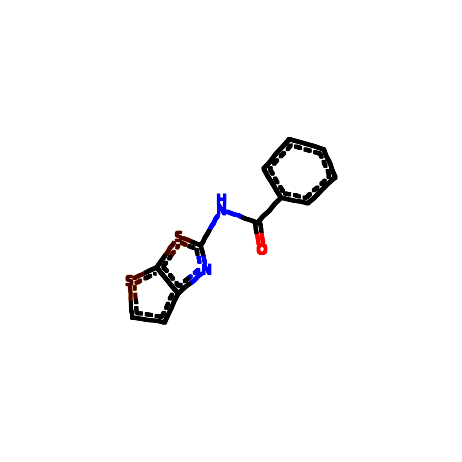 O=C(Nc1nc2ccsc2s1)c1ccccc1